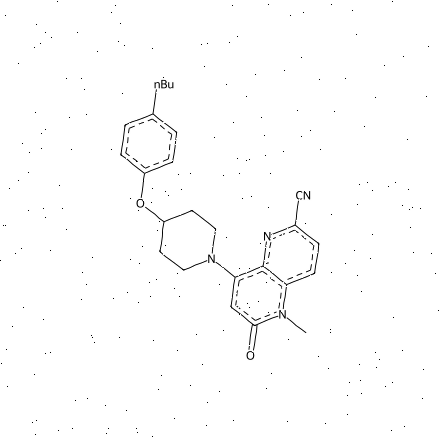 CCCCc1ccc(OC2CCN(c3cc(=O)n(C)c4ccc(C#N)nc34)CC2)cc1